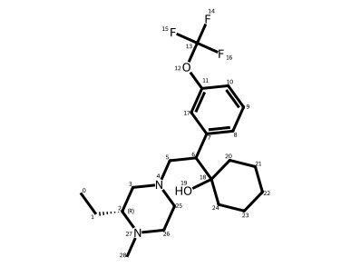 CC[C@@H]1CN(CC(c2cccc(OC(F)(F)F)c2)C2(O)CCCCC2)CCN1C